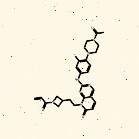 C=CC(=O)N1CC(CCn2c(=O)ccc3cnc(Nc4ccc(N5CCN(C(C)=O)CC5)c(F)c4)nc32)C1